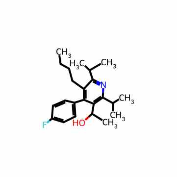 CCCCc1c(C(C)C)nc(C(C)C)c(C(C)O)c1-c1ccc(F)cc1